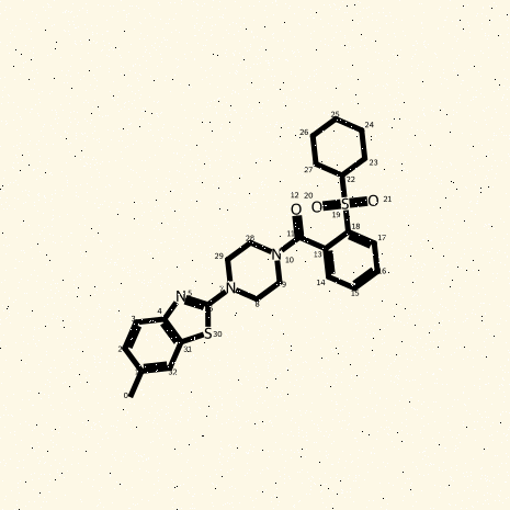 Cc1ccc2nc(N3CCN(C(=O)c4ccccc4S(=O)(=O)C4CCCCC4)CC3)sc2c1